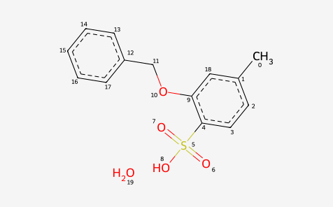 Cc1ccc(S(=O)(=O)O)c(OCc2ccccc2)c1.O